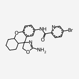 NC1=NC2(CO1)c1cc(NC(=O)c3ccc(Br)cn3)ccc1OC1CCCCC12